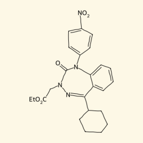 CCOC(=O)CN1N=C(C2CCCCC2)c2ccccc2N(c2ccc([N+](=O)[O-])cc2)C1=O